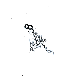 CCSCCCO[C@]1(C(=O)O)C[C@H](O)[C@@H](NC(C)=O)[C@H]([C@H](O)[C@H](O)CNC(=O)Cc2ccc3ccccc3c2)O1